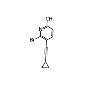 Cc1ccc(C#CC2CC2)c(Br)n1